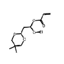 C=CC(=O)OC(CC1OCC(C)(C)CO1)OCC